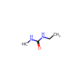 [CH]NC(=O)NCC